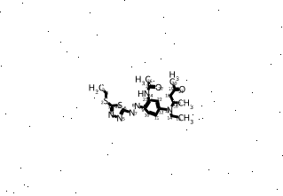 CCSc1nnc(N=Nc2ccc(N(CC)C(C)CC(C)=O)cc2NC(C)=O)s1